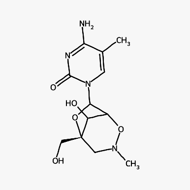 Cc1cn(C2O[C@@]3(CO)CN(C)OC2C3O)c(=O)nc1N